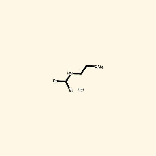 CCC(CC)NCCOC.Cl